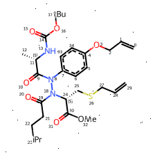 C=CCOc1ccc(N(C(=O)[C@H](C)NC(=O)OC(C)(C)C)N(C(=O)CCC(C)C)[C@H](CSCC=C)C(=O)OC)cc1